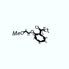 CCC(=O)c1ccccc1OCCOC